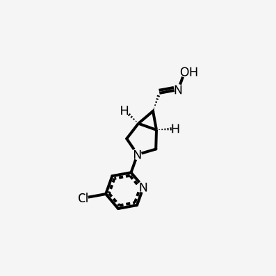 O/N=C/[C@@H]1[C@H]2CN(c3cc(Cl)ccn3)C[C@@H]12